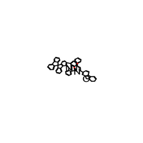 C1=Cc2c(oc3cc(-c4cc(-c5ccccc5)nc(-c5ccccc5-n5c6ccccc6c6ccc7c(c65)-c5ccccc5C75c6ccccc6-c6ccccc65)n4)ccc23)CC1